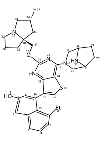 CCc1cccc2cc(O)cc(-c3csc4c(N5CC6CCC(C5)N6)nc(OC[C@@]56CCCN5C[C@H](F)C6)nc34)c12